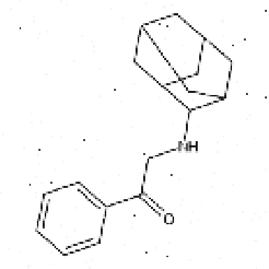 O=C(CNC1C2CC3CC(C2)CC1C3)c1ccccc1